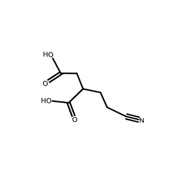 N#CCCC(CC(=O)O)C(=O)O